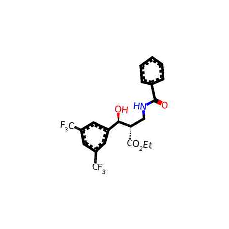 CCOC(=O)[C@@H](CNC(=O)c1ccccc1)[C@H](O)c1cc(C(F)(F)F)cc(C(F)(F)F)c1